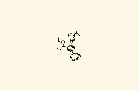 CCOC(=O)c1cn(-c2cccnc2)nc1N=CNC(C)C